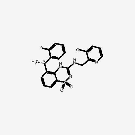 C[C@H](c1ccccc1F)c1cccc2c1NC(NCc1ncccc1Cl)=NS2(=O)=O